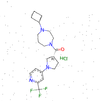 Cl.O=C([C@@H]1CCN(c2ccnc(C(F)(F)F)c2)C1)N1CCCN(C2CCC2)CC1